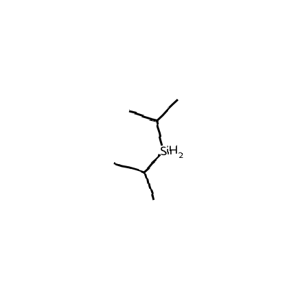 CC(C)[SiH2]C(C)C